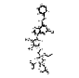 CCOP(=O)(CC[C@H]1O[C@@H](n2cnc3c(NCc4ccccc4)nc(Cl)nc32)[C@H](O)[C@@H]1O)CP(=O)(OC(C)C)OC(C)C